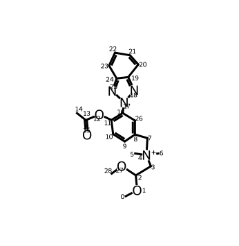 COC(C[N+](C)(C)Cc1ccc(OC(C)=O)c(-n2nc3ccccc3n2)c1)OC